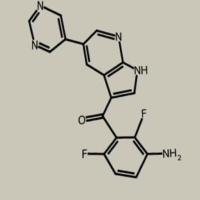 Nc1ccc(F)c(C(=O)c2c[nH]c3ncc(-c4cncnc4)cc23)c1F